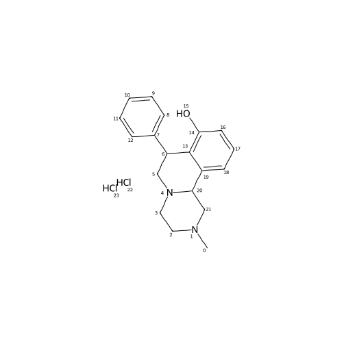 CN1CCN2CC(c3ccccc3)c3c(O)cccc3C2C1.Cl.Cl